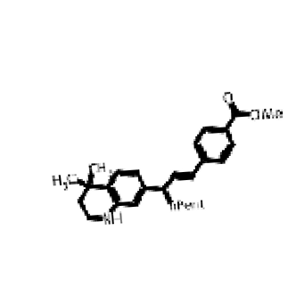 CCCCCC(C=Cc1ccc(C(=O)OC)cc1)c1ccc2c(c1)NCCC2(C)C